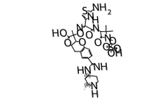 C[C@@H]1C[C@H](NC(=N)c2ccc3c(c2)CCC(C(C)(ON=C(C(=O)NC2C(=O)N(OS(=O)(=O)O)C2(C)C)c2csc(N)n2)C(=O)O)O3)CCN1